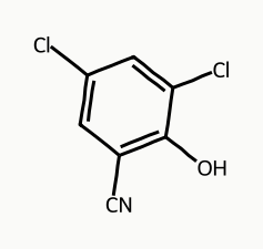 N#Cc1cc(Cl)cc(Cl)c1O